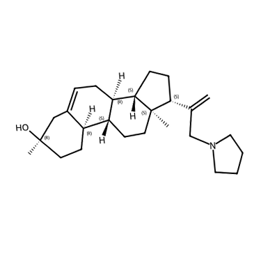 C=C(CN1CCCC1)[C@H]1CC[C@H]2[C@@H]3CC=C4C[C@](C)(O)CC[C@@H]4[C@H]3CC[C@]12C